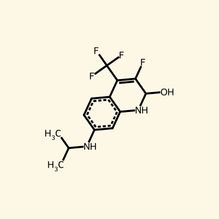 CC(C)Nc1ccc2c(c1)NC(O)C(F)=C2C(F)(F)F